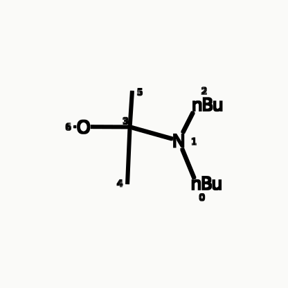 CCCCN(CCCC)C(C)(C)[O]